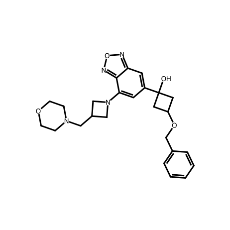 OC1(c2cc(N3CC(CN4CCOCC4)C3)c3nonc3c2)CC(OCc2ccccc2)C1